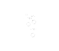 CC(N)Cc1ccccc1.C[C@@H](N)Cc1ccccc1.C[C@H](N)Cc1ccccc1